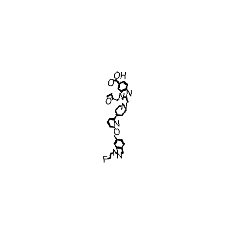 O=C(O)c1ccc2nc(CN3CCC(c4cccc(OCc5ccc6cnn(CCF)c6c5)n4)CC3)n(C[C@@H]3CCO3)c2c1